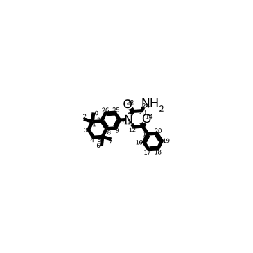 CC1(C)CCC(C)(C)c2cc(N(CC(=O)c3ccccc3)C(=O)CN)ccc21